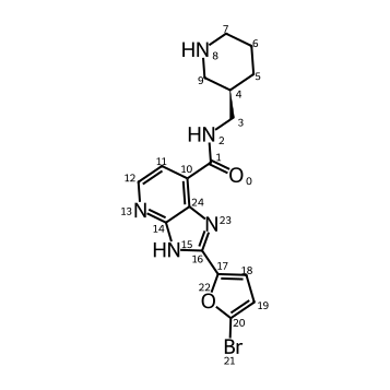 O=C(NC[C@@H]1CCCNC1)c1ccnc2[nH]c(-c3ccc(Br)o3)nc12